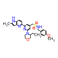 CCC1COCCN1c1cc(CS(=O)(=O)NCc2ccc(OC)cc2)cc(-c2ccc3[nH]c(C)cc3n2)n1